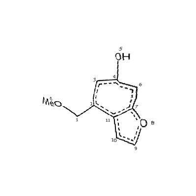 COCc1cc(O)cc2occc12